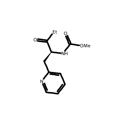 CCC(=O)[C@H](Cc1ccccn1)NC(=O)OC